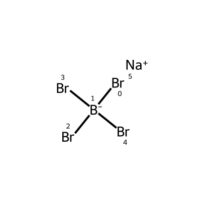 Br[B-](Br)(Br)Br.[Na+]